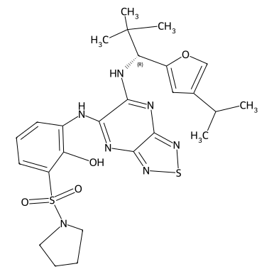 CC(C)c1coc([C@H](Nc2nc3nsnc3nc2Nc2cccc(S(=O)(=O)N3CCCC3)c2O)C(C)(C)C)c1